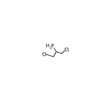 PC(CCl)CCl